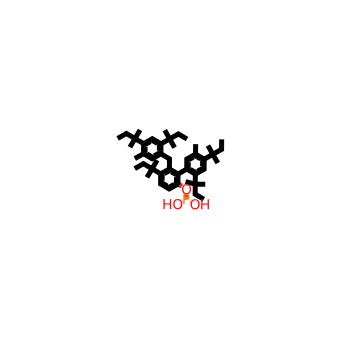 CCC(C)(C)c1cc(C(C)(C)CC)c(Cc2c(C(C)(C)CC)ccc(OP(O)O)c2-c2cc(C)c(C(C)(C)CC)cc2C(C)(C)CC)cc1C